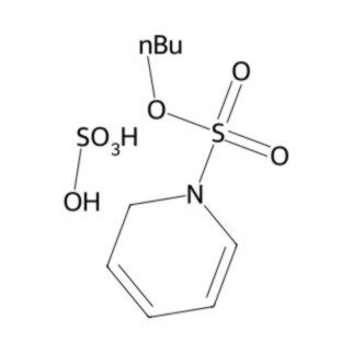 CCCCOS(=O)(=O)N1C=CC=CC1.O=S(=O)(O)O